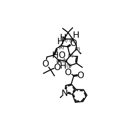 CC1=C[C@]23C(=O)[C@@H](C=C4COC(C)(C)O[C@H]4[C@]2(O)[C@H]1OC(=O)c1cn(C)c2ccccc12)[C@H]1[C@@H](C[C@H]3C)C1(C)C